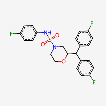 O=S(=O)(Nc1ccc(F)cc1)N1CCOC(C(c2ccc(F)cc2)c2ccc(F)cc2)C1